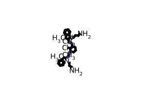 CC1(C)C(/C=C/C2=C(Cl)C(=C/C=C3/N(CCCN)c4ccccc4C3(C)C)/CCC2)=[N+](CCCN)c2ccccc21